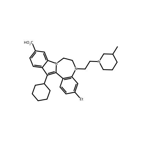 CCc1ccc2c(c1)N(CCN1CCCC(C)C1)CCn1c-2c(C2CCCCC2)c2ccc(C(=O)O)cc21